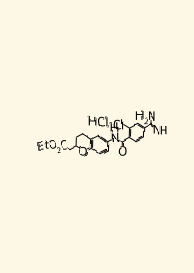 CCOC(=O)CC1CCc2cc(NC(=O)c3ccc(C(=N)N)cc3Cl)ccc2O1.Cl